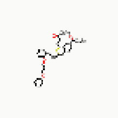 COC(=O)CCCSC(/C=C\Cc1ccccc1OCCCOc1ccccc1)Cc1ccc(C(=O)OC)cc1